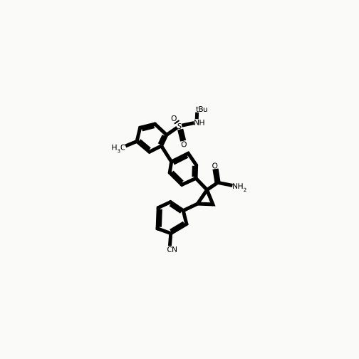 Cc1ccc(S(=O)(=O)NC(C)(C)C)c(-c2ccc(C3(C(N)=O)CC3c3cccc(C#N)c3)cc2)c1